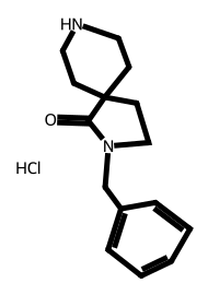 Cl.O=C1N(Cc2ccccc2)CCC12CCNCC2